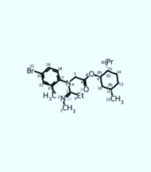 CC/C(=N\C)N(CC(=O)O[C@@H]1C[C@H](C)CC[C@H]1C(C)C)c1ccc(Br)cc1C